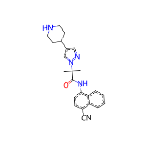 CC(C)(C(=O)Nc1ccc(C#N)c2ccccc12)n1cc(C2CCNCC2)cn1